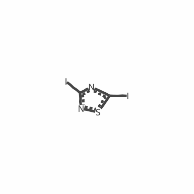 Ic1nsc(I)n1